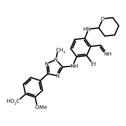 CCc1c(Nc2nc(-c3ccc(C(=O)O)c(OC)c3)nn2C)ccc(NC2CCCCO2)c1C=N